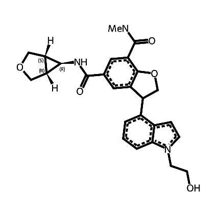 CNC(=O)c1cc(C(=O)N[C@H]2[C@@H]3COC[C@@H]32)cc2c1OCC2c1cccc2c1ccn2CCO